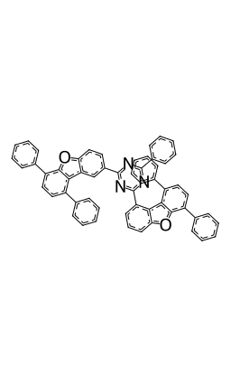 c1ccc(-c2nc(-c3ccc4oc5c(-c6ccccc6)ccc(-c6ccccc6)c5c4c3)nc(-c3cccc4oc5c(-c6ccccc6)ccc(-c6ccccc6)c5c34)n2)cc1